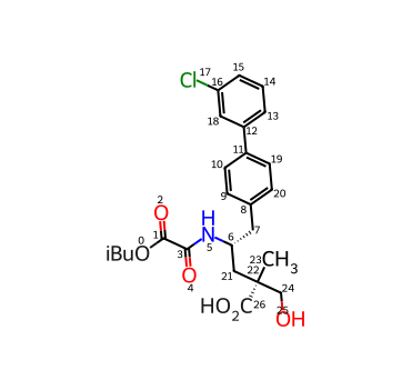 CC(C)COC(=O)C(=O)N[C@H](Cc1ccc(-c2cccc(Cl)c2)cc1)C[C@@](C)(CO)C(=O)O